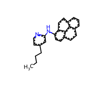 CCCCc1ccnc(Nc2ccc3ccc4cccc5ccc2c3c45)c1